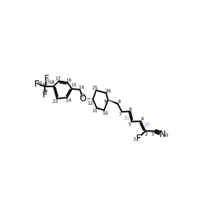 N#C/C(F)=C/C=C/CC[C@H]1CC[C@H](OCc2ccc(C(F)(F)F)cc2)CC1